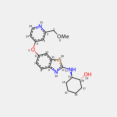 COCc1cc(Oc2ccc3nc(N[C@@H]4CCCC[C@H]4O)sc3c2)ccn1